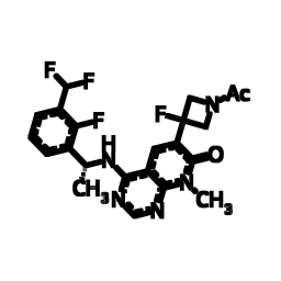 CC(=O)N1CC(F)(c2cc3c(N[C@H](C)c4cccc(C(F)F)c4F)ncnc3n(C)c2=O)C1